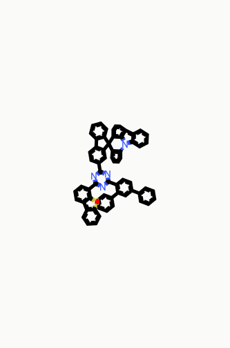 c1ccc(-c2ccc(-c3nc(-c4ccc5c(c4)C4(c6ccccc6-5)c5ccccc5-n5c6ccccc6c6cccc4c65)nc(-c4cccc5c4sc4ccccc45)n3)c(-c3ccccc3)c2)cc1